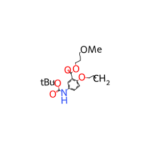 C=CCOc1ccc(NC(=O)OC(C)(C)C)cc1C(=O)OCCCOC